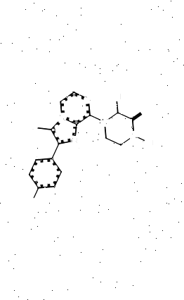 CC1C(=O)N(C)CCN1c1nccn2c(Br)c(-c3ccc(F)cc3)nc12